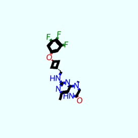 Cc1nc(NC[C@H]2C[C@H](Oc3cc(F)c(F)c(F)c3)C2)nc2c1NC(=O)CN2C